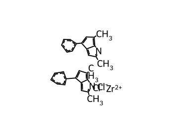 CC1=NC2=C(C)C=C(c3ccccc3)C2=C1.CC1=NC2=C(C)C=C(c3ccccc3)C2=C1.[Cl-].[Cl-].[Zr+2]